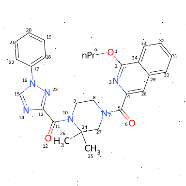 CCCOc1nc(C(=O)N2CCN(C(=O)c3ncn(-c4ccccc4)n3)C(C)(C)C2)cc2ccccc12